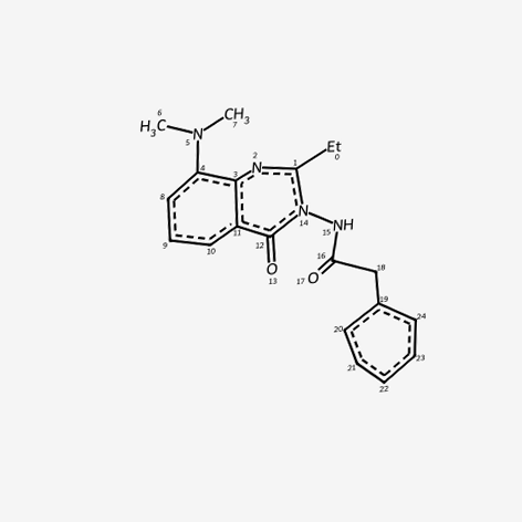 CCc1nc2c(N(C)C)cccc2c(=O)n1NC(=O)Cc1ccccc1